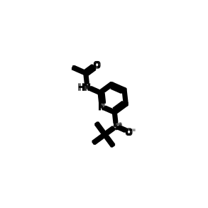 CC(=O)Nc1cccc([S+]([O-])C(C)(C)C)n1